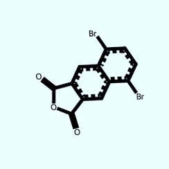 O=C1OC(=O)c2cc3c(Br)ccc(Br)c3cc21